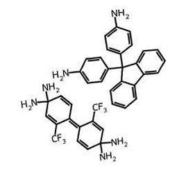 NC1(N)C=CC(=C2C=CC(N)(N)C=C2C(F)(F)F)C(C(F)(F)F)=C1.Nc1ccc(C2(c3ccc(N)cc3)c3ccccc3-c3ccccc32)cc1